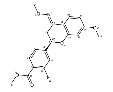 CON=C1C[C@H](c2ccc(C(=O)OC)c(F)c2)Oc2cc(OC)ccc21